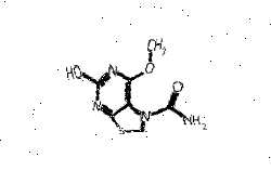 COc1nc(O)nc2c1N(C(N)=O)[CH]S2